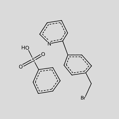 BrCc1ccc(-c2ccccn2)cc1.O=S(=O)(O)c1ccccc1